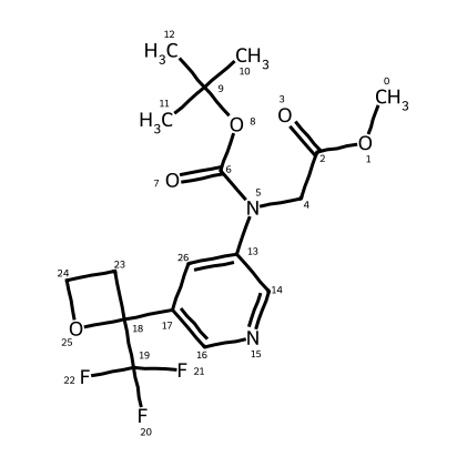 COC(=O)CN(C(=O)OC(C)(C)C)c1cncc(C2(C(F)(F)F)CCO2)c1